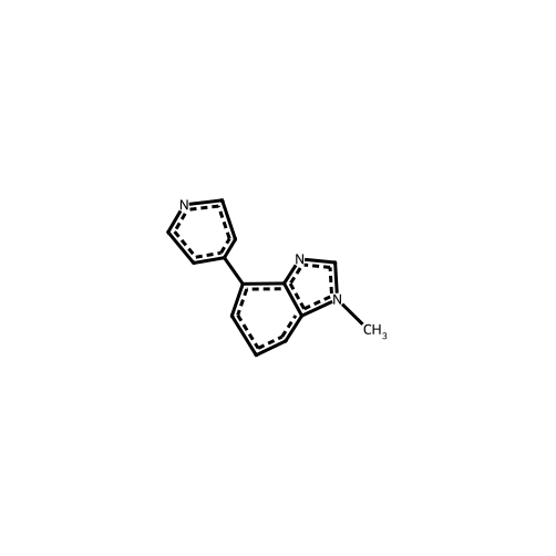 Cn1cnc2c(-c3ccncc3)cccc21